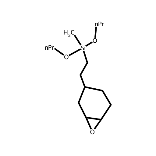 CCCO[Si](C)(CCC1CCC2OC2C1)OCCC